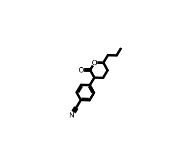 CCCC1CCC(c2ccc(C#N)cc2)C(=O)O1